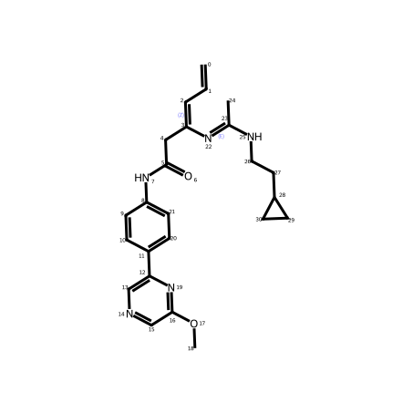 C=C/C=C(CC(=O)Nc1ccc(-c2cncc(OC)n2)cc1)\N=C(/C)NCCC1CC1